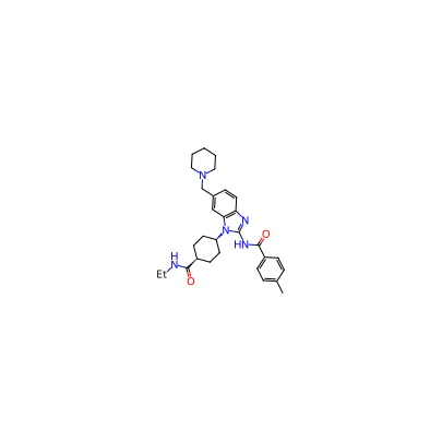 CCNC(=O)[C@H]1CC[C@@H](n2c(NC(=O)c3ccc(C)cc3)nc3ccc(CN4CCCCC4)cc32)CC1